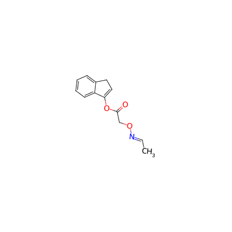 CC=NOCC(=O)OC1=CCc2ccccc21